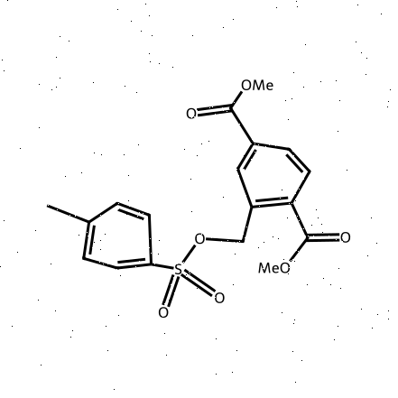 COC(=O)c1ccc(C(=O)OC)c(COS(=O)(=O)c2ccc(C)cc2)c1